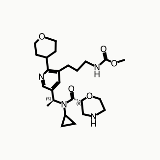 COC(=O)NCCCc1cc([C@H](C)N(C(=O)[C@H]2CNCCO2)C2CC2)cnc1C1CCOCC1